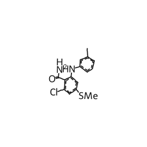 CSc1cc(Cl)c(C(N)=O)c(Nc2cccc(C)c2)c1